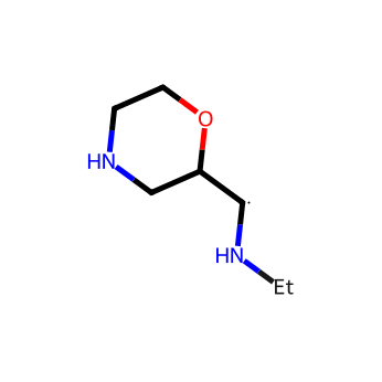 CCN[CH]C1CNCCO1